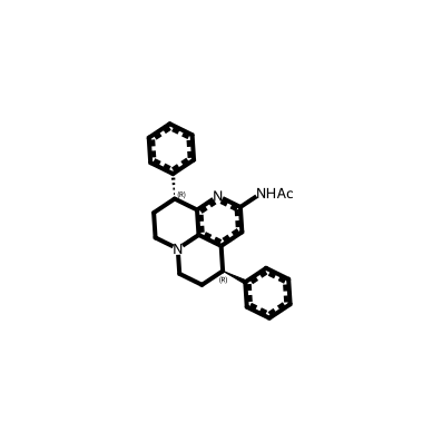 CC(=O)Nc1cc2c3c(n1)[C@@H](c1ccccc1)CCN3CC[C@@H]2c1ccccc1